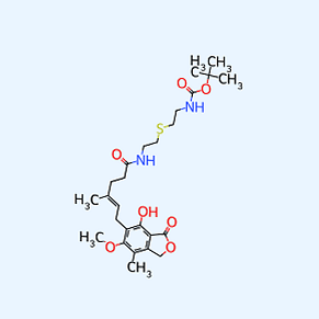 COc1c(C)c2c(c(O)c1C/C=C(\C)CCC(=O)NCCSCCNC(=O)OC(C)(C)C)C(=O)OC2